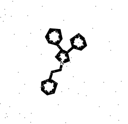 c1ccc(CCn2cc(-c3ccccc3)c(-c3ccccc3)c2)cc1